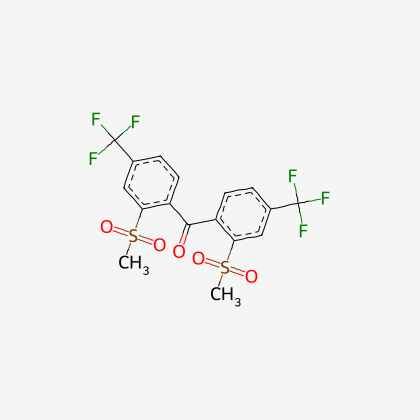 CS(=O)(=O)c1cc(C(F)(F)F)ccc1C(=O)c1ccc(C(F)(F)F)cc1S(C)(=O)=O